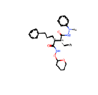 CC(=O)N(NC(=O)[C@H](CC(C)C)[C@H](CCCc1ccccc1)C(=O)NOC1CCCCO1)c1ccccc1